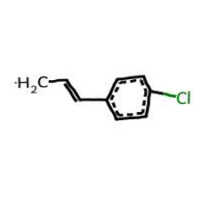 [CH2]C=Cc1ccc(Cl)cc1